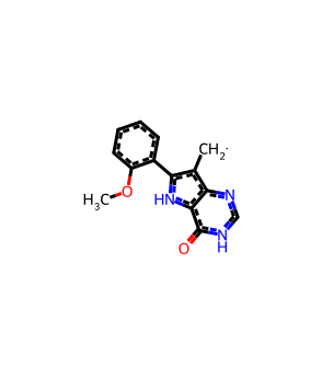 [CH2]c1c(-c2ccccc2OC)[nH]c2c(=O)[nH]cnc12